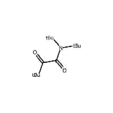 CC(C)(C)C(=O)C(=O)N(C(C)(C)C)C(C)(C)C